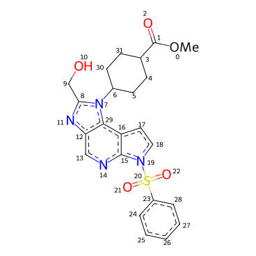 COC(=O)C1CCC(n2c(CO)nc3cnc4c(ccn4S(=O)(=O)c4ccccc4)c32)CC1